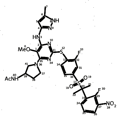 COc1c(Nc2cc(C)[nH]n2)nc(Sc2ccc(S(=O)(=O)C(C)(C)c3cccc([N+](=O)[O-])c3F)cc2F)nc1N1CCC(NC(C)=O)C1